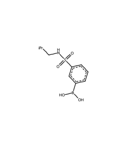 CC(C)CNS(=O)(=O)c1cccc(B(O)O)c1